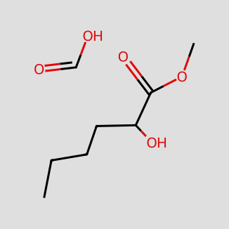 CCCCC(O)C(=O)OC.O=CO